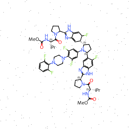 COC(=O)N[C@H](C(=O)N1CCCC1c1nc2c([nH]1)=CC(F)C([C@@H]1CC[C@@H](c3cc4nc([C@@H]5CCCN5C(=O)[C@@H](NC(=O)OC)C(C)C)[nH]c4cc3F)N1c1cc(F)c(N3CCN(c4c(F)cccc4F)CC3)c(F)c1)C=2)C(C)C